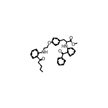 CCCCC(=O)c1ccccc1NCCOc1ccc(CC(Nc2ccccc2C(=O)c2ccccc2)C(=O)OC)cc1